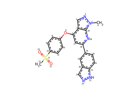 Cn1ncc2c(Oc3ccc(S(C)(=O)=O)cc3)cc(-c3ccc4[nH]ncc4c3)nc21